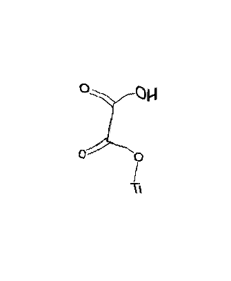 O=C(O)C(=O)[O][Ti]